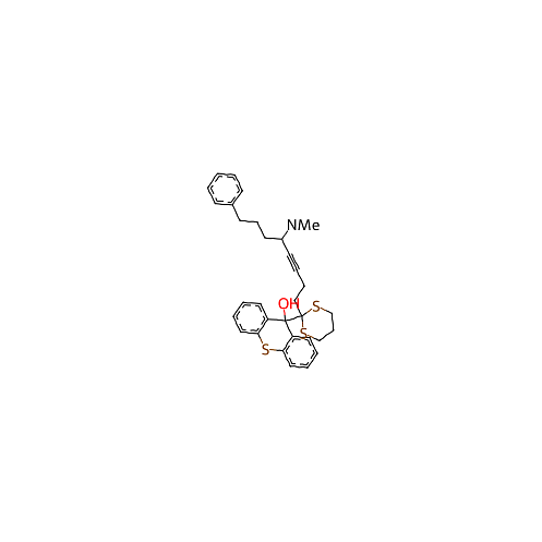 CNC(C#CCCC1(C2(O)c3ccccc3Sc3ccccc32)SCCCS1)CCCc1ccccc1